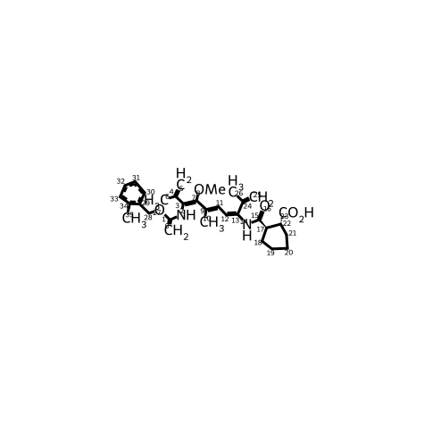 C=C(N\C(C(=C)C)=C(OC)/C(C)=C/C=C(/NC(=O)[C@@H]1CCCC[C@H]1C(=O)O)C(=C)C)OCc1ccccc1C